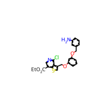 CCOC(=O)c1cnc(Cl)c2c(COc3cccc(OCc4cccc(N)c4)c3)csc12